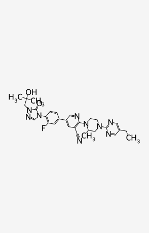 CCc1cnc(N2CCN(c3ncc(-c4ccc(-n5cnn(CC(C)(C)O)c5=O)c(F)c4)cc3C#N)C(C)C2)nc1